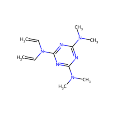 C=CN(C=C)c1nc(N(C)C)nc(N(C)C)n1